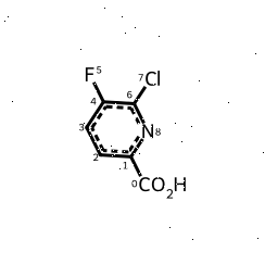 O=C(O)c1ccc(F)c(Cl)n1